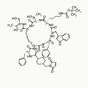 C[C@@H](O)[C@@H]1NC(=O)[C@H](CCCCNC(=O)OC(C)(C)C)NC(=O)[C@@H](Cc2c[nH]c3ccccc23)NC(=O)[C@H](Cc2ccccc2)NC(=O)[C@@H](NC(=O)[C@@H](Cc2ccccc2)NC(=O)C2CCC(CN3C(=O)C=CC3=O)CC2)CSSC[C@@H](C(=O)N[C@H](CO)[C@@H](C)O)NC1=O